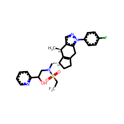 C[C@@H]1C2=C(CC[C@@H]2CN(CC(O)c2ccccn2)S(=O)(=O)CC(F)(F)F)Cc2c1cnn2-c1ccc(F)cc1